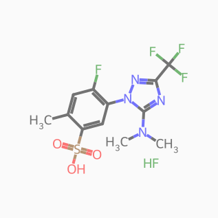 Cc1cc(F)c(-n2nc(C(F)(F)F)nc2N(C)C)cc1S(=O)(=O)O.F